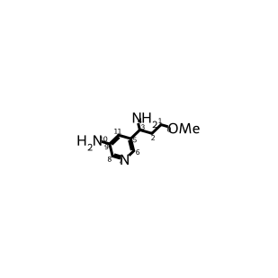 COCCC(N)c1cncc(N)c1